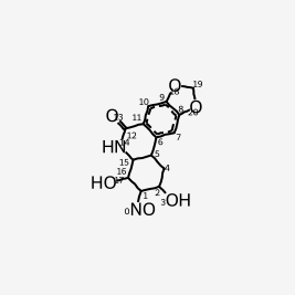 O=NC1C(O)CC2c3cc4c(cc3C(=O)NC2C1O)OCO4